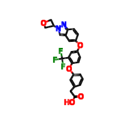 O=C(O)Cc1cccc(Oc2ccc(Oc3ccc4nn(C5COC5)cc4c3)cc2C(F)(F)F)c1